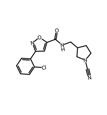 N#CN1CCC(CNC(=O)c2cc(-c3ccccc3Cl)no2)C1